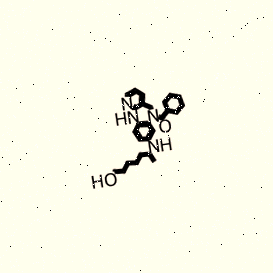 CC(CCCCCO)Nc1ccc2c(c1)N(C(=O)C1CCCCC1)Cc1cccnc1N2